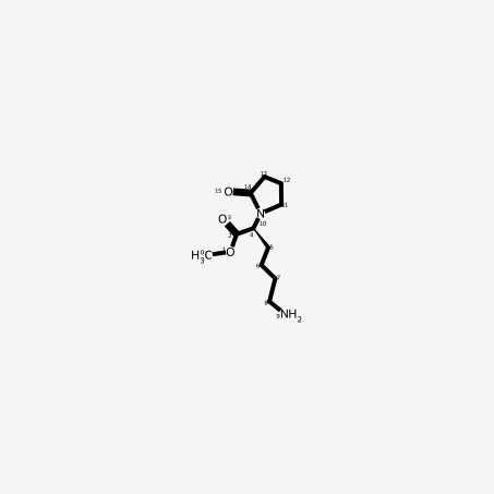 COC(=O)[C@H](CCCCN)N1CCCC1=O